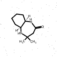 CC1(C)CC(=O)N[C@@H]2CCCC[C@@H]2N1